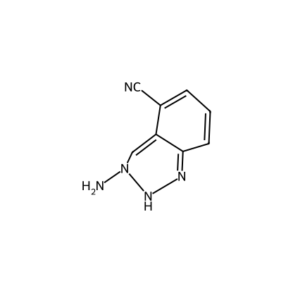 N#Cc1cccc2c1=CN(N)NN=2